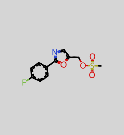 CS(=O)(=O)OCc1cnc(-c2ccc(F)cc2)o1